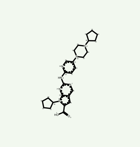 O=C(O)c1cc2cnc(Nc3ccc(N4CCN(C5CCCC5)CC4)cn3)nc2n1C1CCCC1